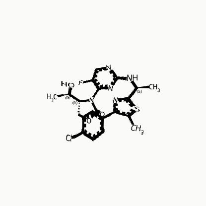 Cc1sc([C@H](C)Nc2ncc(F)c(N3C(=O)OC[C@@H]3[C@@H](C)O)n2)nc1-c1ccc(Cl)cc1